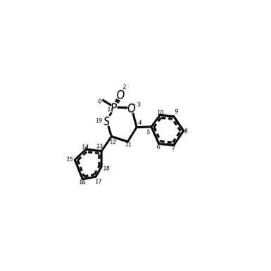 CP1(=O)OC(c2ccccc2)CC(c2ccccc2)S1